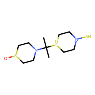 CC(C)(N1CC[S+]([O-])CC1)[SH]1CCN(S)CC1